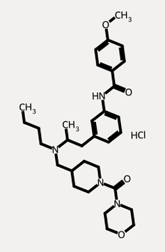 CCCCN(CC1CCN(C(=O)N2CCOCC2)CC1)C(C)Cc1cccc(NC(=O)c2ccc(OC)cc2)c1.Cl